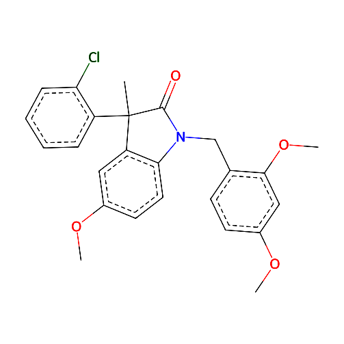 COc1ccc(CN2C(=O)C(C)(c3ccccc3Cl)c3cc(OC)ccc32)c(OC)c1